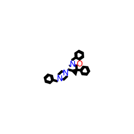 CN(Cc1ccccc1)C(=O)C1(c2ccccc2)CC1CN1CCN(Cc2ccccc2)CC1